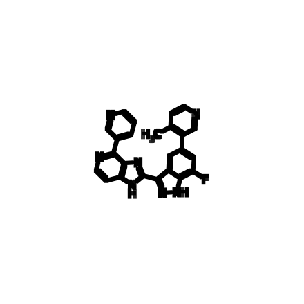 Cc1ccncc1-c1cc(F)c2[nH]nc(-c3nc4c(-c5cccnc5)nccc4[nH]3)c2c1